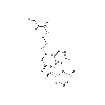 C=C(CCCCCSc1nnc(-c2cccc(F)c2)n1-c1ccccc1)OCC